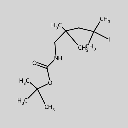 CC(C)(I)CC(C)(C)CNC(=O)OC(C)(C)C